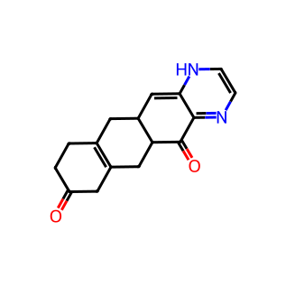 O=C1CCC2=C(C1)CC1C(=O)C3=NC=CNC3=CC1C2